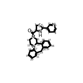 O=C(C1CSC(c2cccnc2)N1)N1CCN2c3ccccc3Cc3ccccc3C2C1